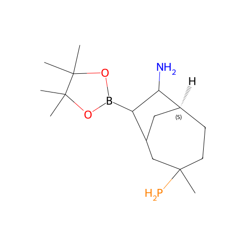 CC1(P)CC[C@H]2CC(C1)C(B1OC(C)(C)C(C)(C)O1)C2N